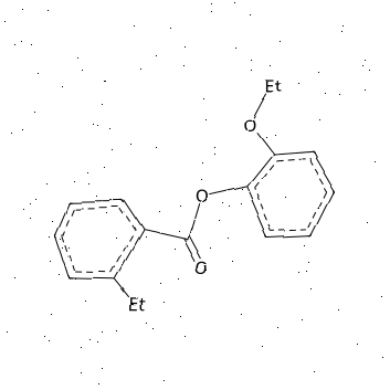 CCOc1ccccc1OC(=O)c1ccccc1CC